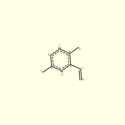 C=Cc1nc(C)cnc1C